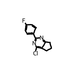 Fc1ccc(-c2nc(Cl)c3c(n2)CCC3)cc1